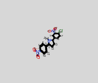 [2H]N1C(c2ccc([N+](=O)[O-])cc2)CCC1c1ccc(Cl)c([N+](=O)[O-])c1